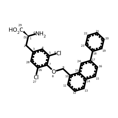 N[C@@H](Cc1cc(Cl)c(OCc2cccc3ccc(-c4ccccc4)cc23)c(Cl)c1)C(=O)O